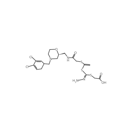 C=C(SCC(=O)NC[C@H]1CN(CC2C=C(Cl)C(Cl)=CC2)CCO1)S/C(=N\N)SCC(=O)O